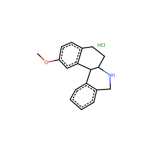 COc1ccc2c(c1)C1c3ccccc3CNC1CC2.Cl